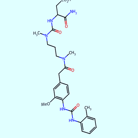 COc1cc(CC(=O)N(C)CCCN(C)C(=O)NC(CC(=O)O)C(N)=O)ccc1NC(=O)Nc1ccccc1C